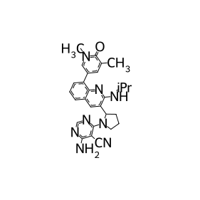 Cc1cc(-c2cccc3cc(C4CCCN4c4ncnc(N)c4C#N)c(NC(C)C)nc23)cn(C)c1=O